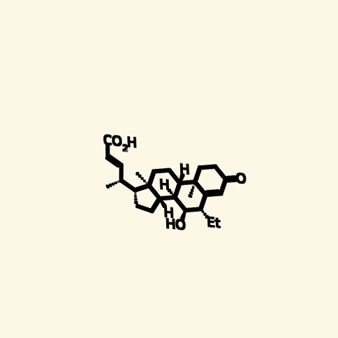 CC[C@H]1C2=CC(=O)CC[C@]2(C)[C@H]2CC[C@]3(C)[C@@H]([C@H](C)/C=C/C(=O)O)CC[C@H]3[C@@H]2[C@@H]1O